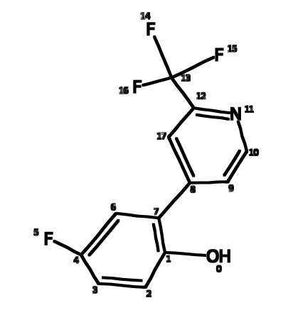 Oc1ccc(F)cc1-c1ccnc(C(F)(F)F)c1